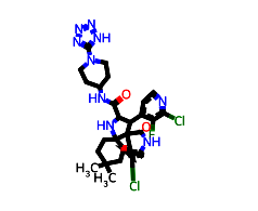 CC1(C)CCC2(CC1)NC(C(=O)NC1CCN(c3nnn[nH]3)CC1)C(c1ccnc(Cl)c1F)C21C(=O)Nc2cc(Cl)ccc21